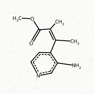 COC(=O)C(C)=C(C)c1ccncc1N